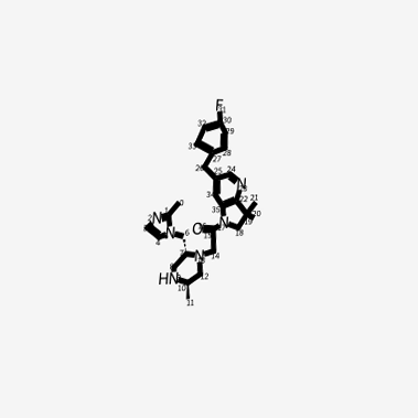 Cc1nccn1C[C@H]1CN[C@H](C)CN1CC(=O)N1CC(C)(C)c2ncc(Cc3ccc(F)cc3)cc21